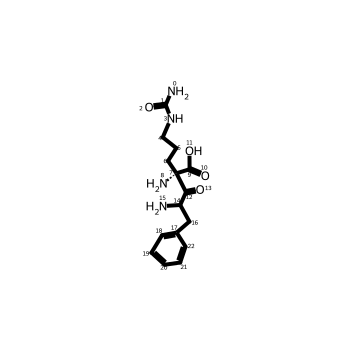 NC(=O)NCCC[C@@](N)(C(=O)O)C(=O)C(N)Cc1ccccc1